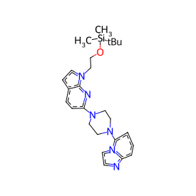 CC(C)(C)[Si](C)(C)OCCn1ccc2ccc(N3CCN(c4cccc5nccn45)CC3)nc21